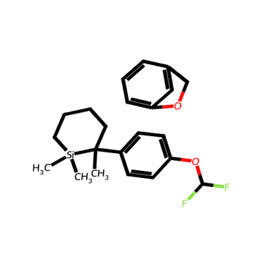 CC1(c2ccc(OC(F)F)cc2)CCCC[Si]1(C)C.c1cc2cc(c1)OC2